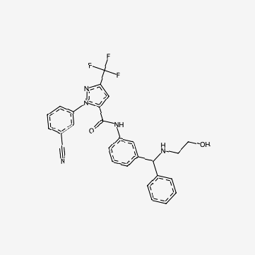 N#Cc1cccc(-n2nc(C(F)(F)F)cc2C(=O)Nc2cccc(C(NCCO)c3ccccc3)c2)c1